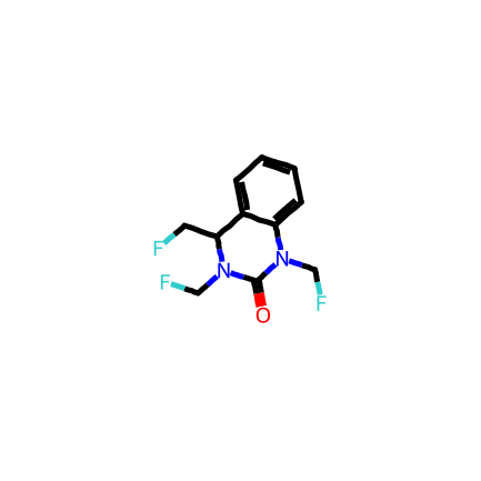 O=C1N(CF)c2ccccc2C(CF)N1CF